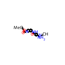 C#CCN=C(N)c1ccc(C(=O)Nc2ccc3c(c2)CN(CC(=O)OCCOC)CC3)cc1